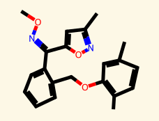 CON=C(c1cc(C)no1)c1ccccc1COc1cc(C)ccc1C